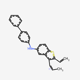 C=Cc1sc2ccc(Nc3ccc(-c4ccccc4)cc3)cc2c1/C=C\C